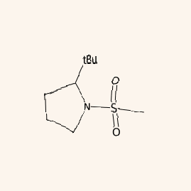 CC(C)(C)C1CCCN1S(C)(=O)=O